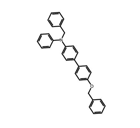 c1ccc(COc2ccc(-c3ccc(N(Cc4ccccc4)c4ccccc4)cc3)cc2)cc1